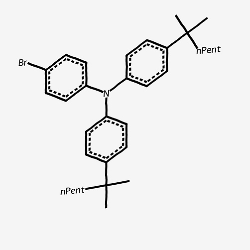 CCCCCC(C)(C)c1ccc(N(c2ccc(Br)cc2)c2ccc(C(C)(C)CCCCC)cc2)cc1